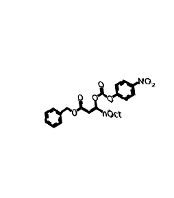 CCCCCCCCC(CC(=O)OCc1ccccc1)OC(=O)Oc1ccc([N+](=O)[O-])cc1